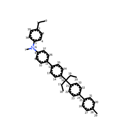 CCc1ccc(N(C)c2ccc(-c3ccc(C(CC)(CC)c4ccc(-c5ccc(C)cc5)cc4)cc3)cc2)cc1